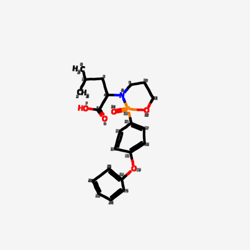 CC(C)CC(C(=O)O)N1CCCOP1(=O)c1ccc(Oc2ccccc2)cc1